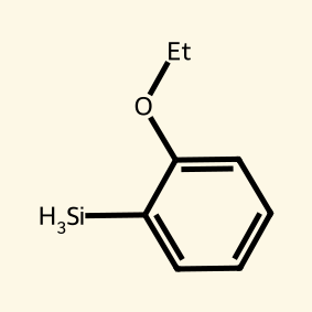 CCOc1ccccc1[SiH3]